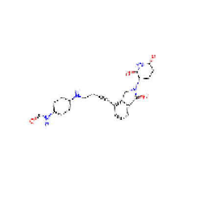 O=CN[C@H]1CC[C@@H](NCCC#Cc2cccc3c2CN(C2CCC(=O)NC2=O)C3=O)CC1